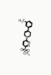 Cc1cccc(C2=CCN(c3ccc(S(C)(=O)=O)nn3)CC2)c1